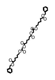 O=C(CCCCC(=O)OCC(=O)OCCCCCC(=O)OCc1ccccc1)OCC(=O)OCCCCCC(=O)OCc1ccccc1